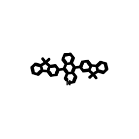 CC1(C)c2ccccc2-c2ccc(-c3c4ccccc4c(-c4ccc5c(c4)C(C)(C)c4ccccc4-5)c4cnccc34)cc21